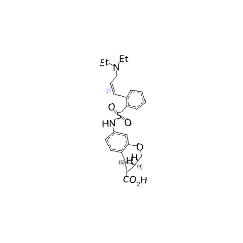 CCN(CC)C/C=C\c1ccccc1S(=O)(=O)Nc1ccc2c(c1)OC[C@H]1C(C(=O)O)[C@@H]21